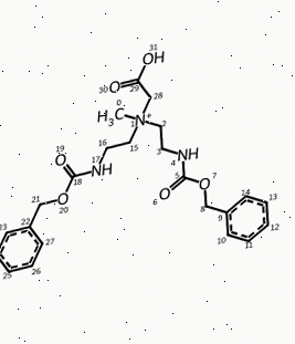 C[N+](CCNC(=O)OCc1ccccc1)(CCNC(=O)OCc1ccccc1)CC(=O)O